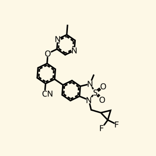 Cc1cncc(Oc2ccc(C#N)c(-c3ccc4c(c3)N(C)S(=O)(=O)N4CC3CC3(F)F)c2)n1